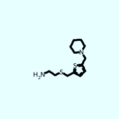 NCCSCc1ccc(CN2CCCCC2)s1